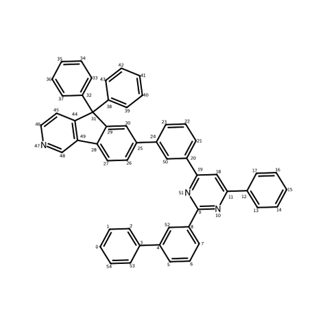 c1ccc(-c2cccc(-c3nc(-c4ccccc4)cc(-c4cccc(-c5ccc6c(c5)C(c5ccccc5)(c5ccccc5)c5ccncc5-6)c4)n3)c2)cc1